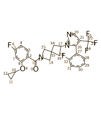 O=C(c1ccc(F)cc1OC1CC1)N1CC2(CC(n3ncc(C(F)(F)F)c3-c3ccccc3F)C2)C1